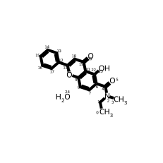 CCN(C)C(=O)c1ccc2oc(-c3ccccc3)cc(=O)c2c1O.O